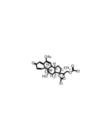 CCC(=O)OCC(=O)[C@]1(OC(=O)CC)[C@@H](C)C[C@H]2[C@@H]3C=C(OC(C)=O)C4=CC(=O)C=C[C@]4(C)[C@@]3(F)[C@H](O)C[C@@]21C